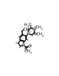 CCc1cc2c(cc1N1C[C@@H](C)N(C)[C@@H](C)C1)N(C(C)=O)CC2